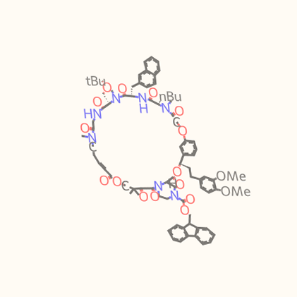 CCCC[C@H]1C(=O)N[C@@H](Cc2ccc3ccccc3c2)C(=O)N(C)[C@@H](COC(C)(C)C)C(=O)NCC(=O)N(C)CC/C=C/C(=O)OCC(C)(C)C(=O)C(=O)N2CCN(C(=O)OCC3c4ccccc4-c4ccccc43)C[C@H]2C(=O)O[C@H](CCc2ccc(OC)c(OC)c2)c2cccc(c2)OCC(=O)N1C